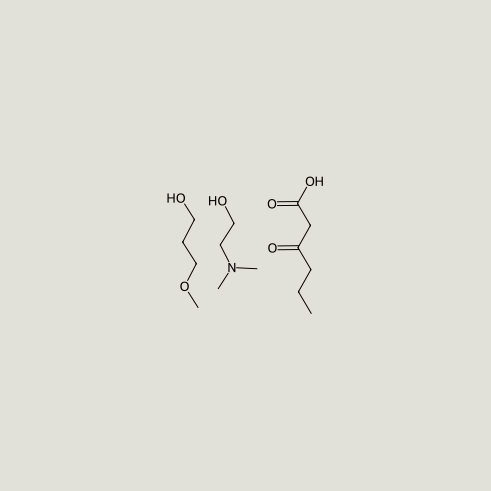 CCCC(=O)CC(=O)O.CN(C)CCO.COCCCO